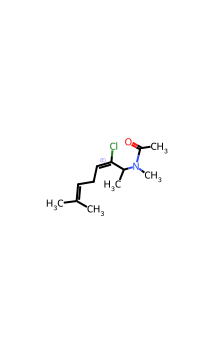 CC(=O)N(C)C(C)/C(Cl)=C\CC=C(C)C